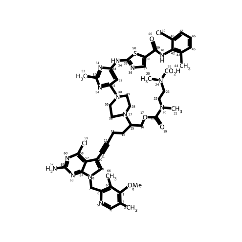 COc1c(C)cnc(Cn2cc(C#CCCC(COC(=O)N(C)CCN(C)C(=O)O)N3CCN(c4cc(Nc5ncc(C(=O)Nc6c(C)cccc6Cl)s5)nc(C)n4)CC3)c3c(Cl)nc(N)nc32)c1C